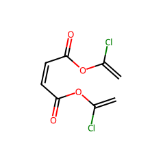 C=C(Cl)OC(=O)/C=C\C(=O)OC(=C)Cl